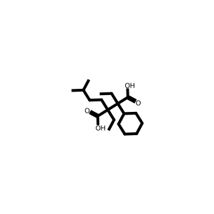 CCC(CCC(C)C)(C(=O)O)C(CC)(C(=O)O)C1CCCCC1